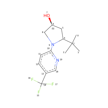 CC(C)(C)C1C[C@H](O)CN1c1ccc(C(F)(F)F)cn1